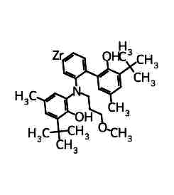 COCCCN(c1ccccc1-c1cc(C)cc(C(C)(C)C)c1O)c1cc(C)cc(C(C)(C)C)c1O.[Zr]